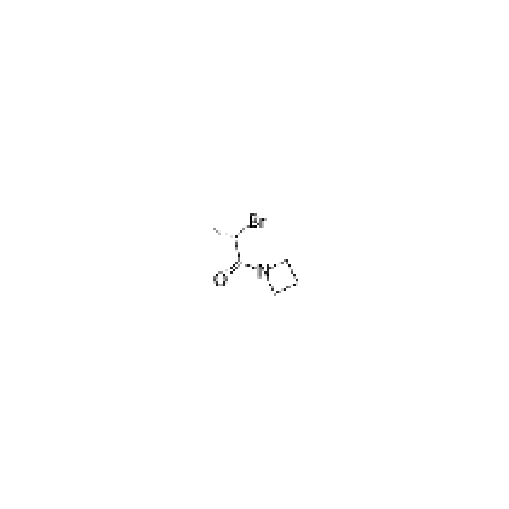 C[C@H](Br)C(=O)N1CCC1